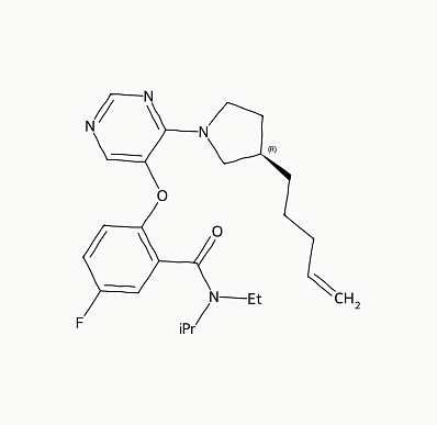 C=CCCC[C@@H]1CCN(c2ncncc2Oc2ccc(F)cc2C(=O)N(CC)C(C)C)C1